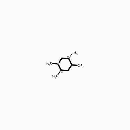 CC1C[C@@H](C)N(C)C[C@@H]1C